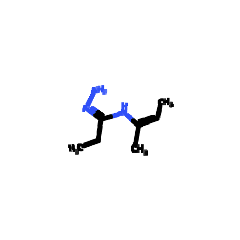 C/C=C(/C)N/C(CC)=N\N